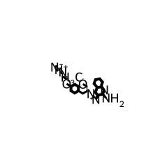 CCOC[C@H](Cc1ccc(OCCN=[N+]=[N-])cc1)n1cnc2c(N)nc3ccccc3c21